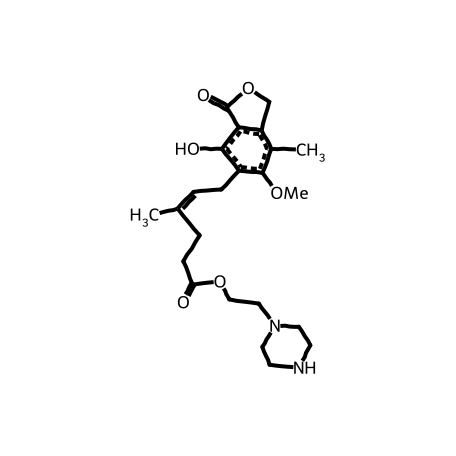 COc1c(C)c2c(c(O)c1CC=C(C)CCC(=O)OCCN1CCNCC1)C(=O)OC2